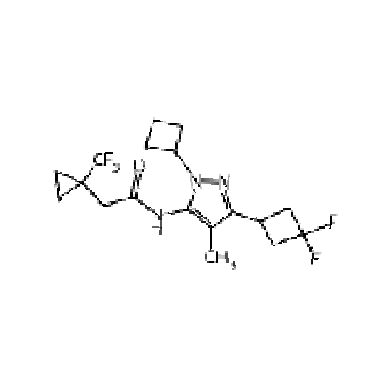 Cc1c(C2CC(F)(F)C2)nn(C2CCC2)c1NC(=O)CC1(C(F)(F)F)CC1